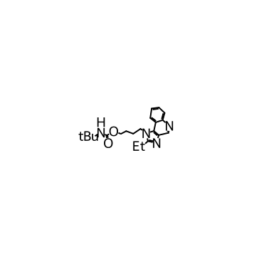 CCc1nc2cnc3ccccc3c2n1CCCCOC(=O)NC(C)(C)C